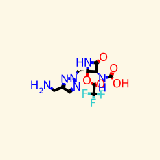 NCc1cnn(C[C@]2(OC(=O)C(F)(F)F)NC(=O)[C@H]2NC(=O)O)n1